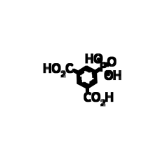 O=C(O)c1cc(C(=O)O)cc(P(=O)(O)O)c1